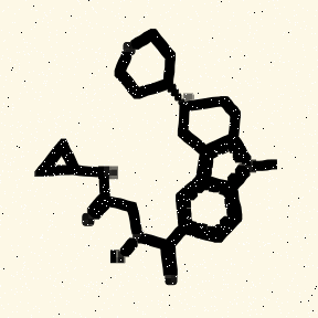 CCN(CC(=O)NC1CC1)C(=O)c1ccc2c(c1)c1c(n2C)CC[C@@H](C2CCOCC2)C1